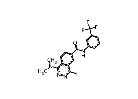 CN(C)c1nnc(I)c2cc(C(=O)Nc3cccc(C(F)(F)F)c3)ccc12